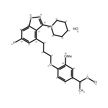 CCOC(C)c1ccc(OCCCc2cc(F)cc3onc(N4CCCCC4)c23)c(OC)c1.Cl